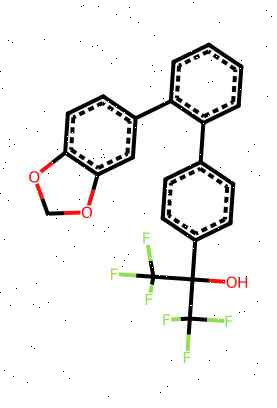 OC(c1ccc(-c2ccccc2-c2ccc3c(c2)OCO3)cc1)(C(F)(F)F)C(F)(F)F